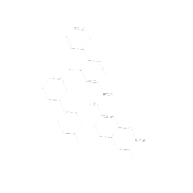 CC1CCN(C2CCCN(Cc3cc(C(=O)Nc4ccc5c(c4)NC(=O)C(C)O5)ccc3-c3ccccc3)C2)CC1